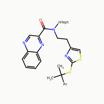 CCCCCCCN(CCc1csc(SC(C)(C)C(C)=O)n1)C(=O)c1cnc2ccccc2n1